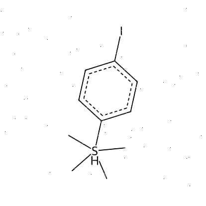 C[SH](C)(C)(C)c1ccc(I)cc1